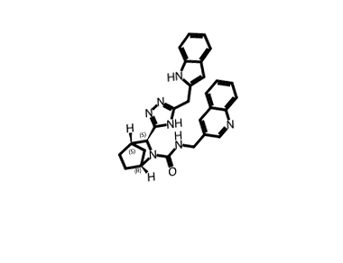 O=C(NCc1cnc2ccccc2c1)N1[C@@H]2CC[C@@H](C2)[C@H]1c1nnc(Cc2cc3ccccc3[nH]2)[nH]1